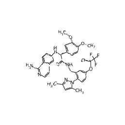 COc1ccc(C(Nc2ccc3c(N)nccc3c2)C(=O)NCc2cc(OC(=O)C(F)(F)F)ccc2-n2nc(C)cc2C)cc1OC